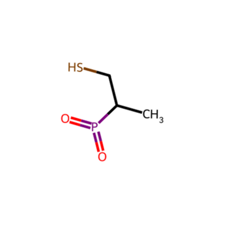 CC(CS)P(=O)=O